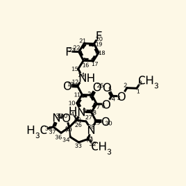 CCCOC(=O)Oc1c2n(cc(C(=O)NCc3ccc(F)cc3F)c1=O)[C@@H]1CN(C2=O)[C@@H](C)CC[C@]12CC(C)=NO2